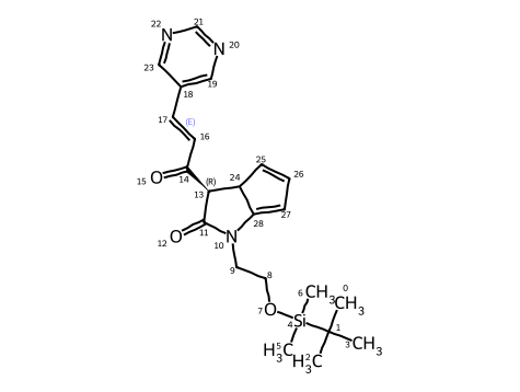 CC(C)(C)[Si](C)(C)OCCN1C(=O)[C@@H](C(=O)/C=C/c2cncnc2)C2C=CC=C21